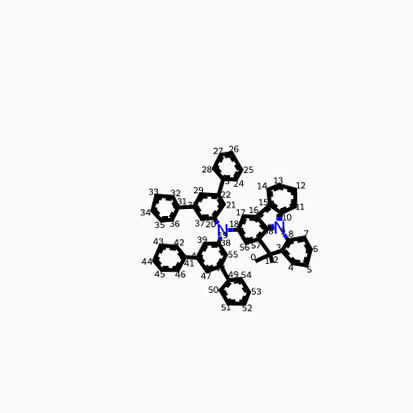 CC1(C)c2ccccc2-n2c3ccccc3c3cc(N(c4cc(-c5ccccc5)cc(-c5ccccc5)c4)c4cc(-c5ccccc5)cc(-c5ccccc5)c4)cc1c32